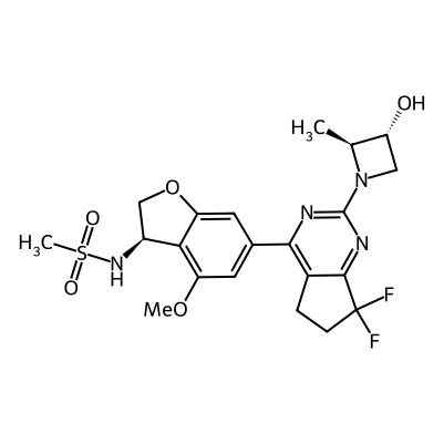 COc1cc(-c2nc(N3C[C@@H](O)[C@@H]3C)nc3c2CCC3(F)F)cc2c1[C@@H](NS(C)(=O)=O)CO2